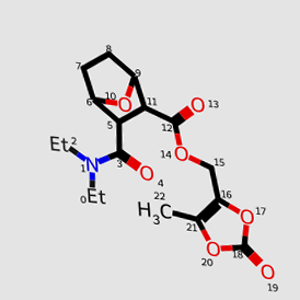 CCN(CC)C(=O)C1C2CCC(O2)C1C(=O)OCc1oc(=O)oc1C